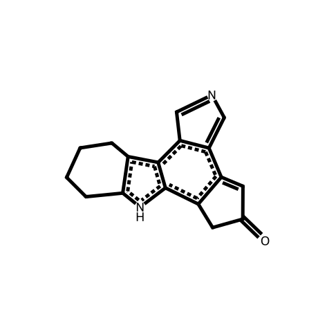 O=C1C=c2c(c3[nH]c4c(c3c3c2=CN=C3)CCCC4)C1